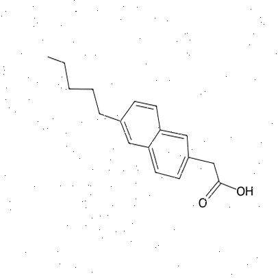 CCCCCc1ccc2cc(CC(=O)O)ccc2c1